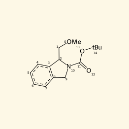 COCC1c2ccccc2CN1C(=O)OC(C)(C)C